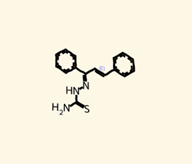 NC(=S)NN=C(/C=C/c1ccccc1)c1ccccc1